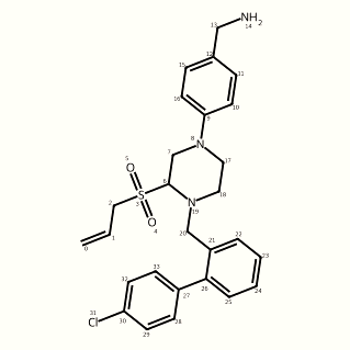 C=CCS(=O)(=O)C1CN(c2ccc(CN)cc2)CCN1Cc1ccccc1-c1ccc(Cl)cc1